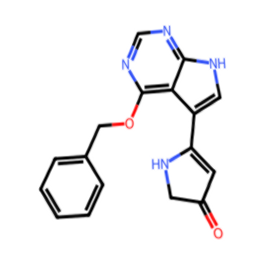 O=C1C=C(c2c[nH]c3ncnc(OCc4ccccc4)c23)NC1